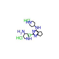 Cl.Cl.Clc1nc2c(c(NC3CCNCC3)n1)CCC2.NC1CCNCC1